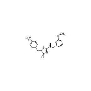 COc1cccc(CNC2=NC(=O)/C(=C/c3ccc(C)cc3)S2)c1